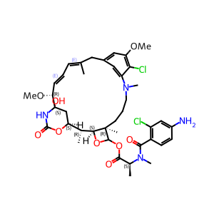 COc1cc2cc(c1Cl)N(C)CCC[C@@]1(C)C(OC(=O)[C@H](C)N(C)C(=O)c3ccc(N)cc3Cl)O[C@H]1[C@H](C)[C@@H]1C[C@@](O)(NC(=O)O1)[C@H](OC)/C=C/C=C(\C)C2